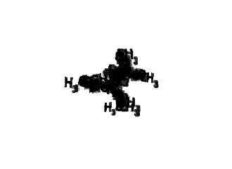 COCC1CCC(COc2nc(N3CCN(C(=O)OC(C)(C)C)CC3)c3cc(Cl)c(-c4nc(N(Cc5ccc(OC)cc5)Cc5ccc(OC)cc5)ccc4C(F)(F)F)cc3n2)N1C